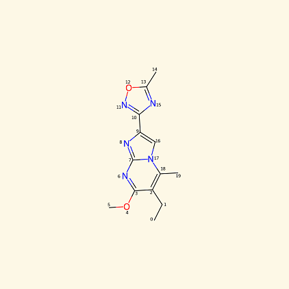 CCc1c(OC)nc2nc(-c3noc(C)n3)cn2c1C